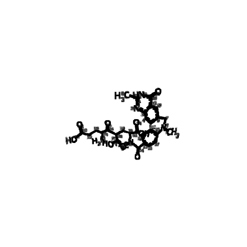 Cc1nc2ccc(CN(C)c3ccc(C(=O)N(C)[C@@H](CC(C(=O)O)C(=O)[C@@H](N)CCC(=O)O)C(=O)O)cc3)cc2c(=O)[nH]1